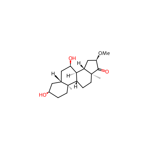 CO[C@@H]1C[C@H]2[C@@H]3[C@H](O)C[C@H]4C[C@H](O)CC[C@]4(C)[C@H]3CC[C@]2(C)C1=O